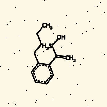 C=C([SiH2]O)c1ccccc1CCCC